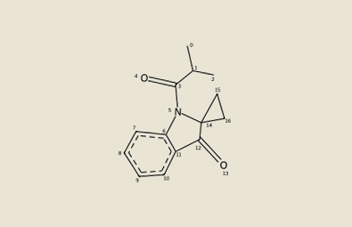 CC(C)C(=O)N1c2ccccc2C(=O)C12CC2